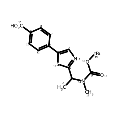 CC(c1ncc(-c2ccc(C(=O)O)cc2)s1)N(C)C(=O)OC(C)(C)C